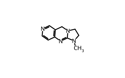 CN1CCN2Cc3cnccc3N=C12